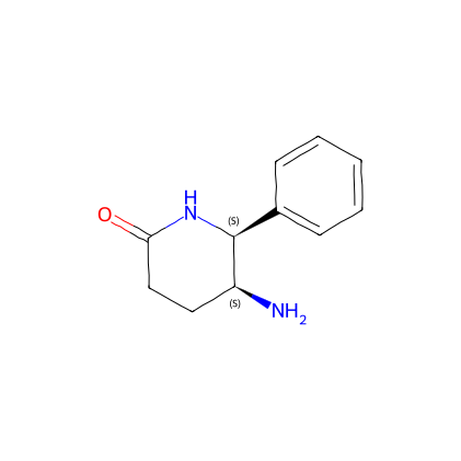 N[C@H]1CCC(=O)N[C@H]1c1ccccc1